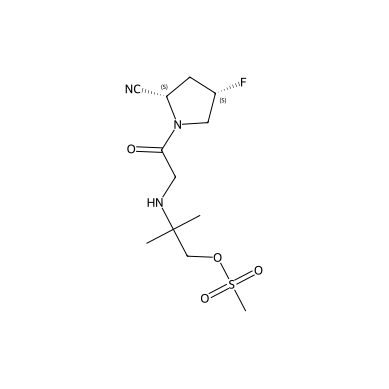 CC(C)(COS(C)(=O)=O)NCC(=O)N1C[C@@H](F)C[C@H]1C#N